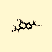 CCCN(CCC)C(=O)C1=Cc2ccc(C(=O)OC)cc2N=C(N)C1